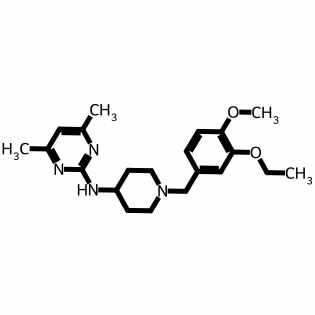 CCOc1cc(CN2CCC(Nc3nc(C)cc(C)n3)CC2)ccc1OC